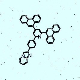 c1ccc2c(c1)cc(-c1cc(-c3ccc(-c4cn5ccccc5n4)cc3)nc(-c3cc4ccccc4c4ccccc34)c1)c1ccccc12